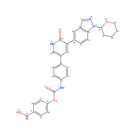 O=C(Nc1ccc(-c2cc(-c3ccc4c(cnn4C4CCCCO4)c3)c(=O)[nH]n2)cc1)Oc1ccc(NO)cc1